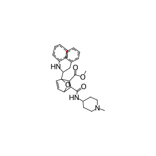 COC(=O)C1=C(C(=O)NC2CCN(C)CC2)C2C=CC1(C(Cc1ccccc1)Nc1ccccc1)O2